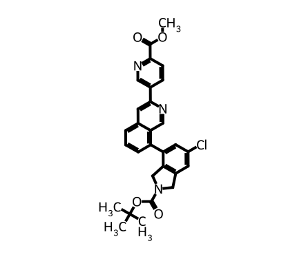 COC(=O)c1ccc(-c2cc3cccc(-c4cc(Cl)cc5c4CN(C(=O)OC(C)(C)C)C5)c3cn2)cn1